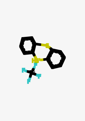 F[B-](F)(F)F.c1ccc2c(c1)Sc1ccccc1[SH+]2